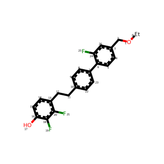 CCOCc1ccc(-c2ccc(CCc3ccc(O)c(F)c3F)cc2)c(F)c1